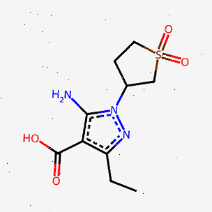 CCc1nn(C2CCS(=O)(=O)C2)c(N)c1C(=O)O